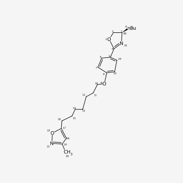 CCCC[C@@H]1COC(c2ccc(OCCCCCCCc3cc(C)no3)cc2)=N1